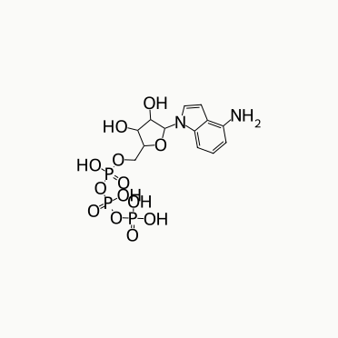 Nc1cccc2c1ccn2C1OC(COP(=O)(O)OP(=O)(O)OP(=O)(O)O)C(O)C1O